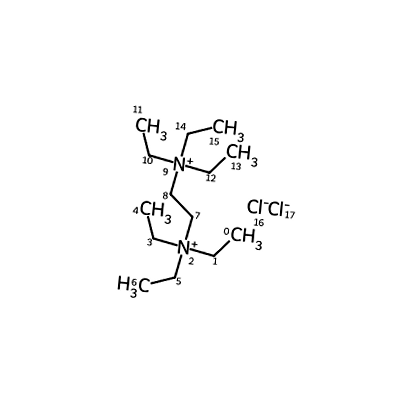 CC[N+](CC)(CC)CC[N+](CC)(CC)CC.[Cl-].[Cl-]